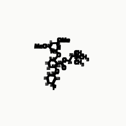 COc1cc(OC)nc(Oc2cccc(Oc3cccc(F)c3)c2C(=O)OCC[Si](C)(C)C)n1